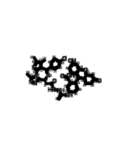 C=C(NNC(=O)C[C@@H]1N=C(c2ccc(Cl)cc2)c2c(sc(C)c2C)-n2c(C)nnc21)Nc1ccc(-c2c3ccc(=O)cc-3oc3cc(O)ccc23)c(C(=O)O)c1